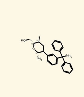 B[C@@H]1O[C@H](CO)[C@@H](C)CC1c1cccc(C(N)(c2ccccc2)c2ccccc2)c1